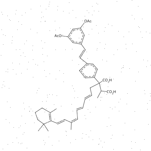 CC(=O)Oc1cc(C=Cc2ccc(C(CC=CC=CC=C(C)C=CC3=C(C)CCCC3(C)C)(C(=O)O)C(C)C(=O)O)cc2)cc(OC(C)=O)c1